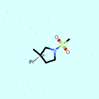 CC(C)[C@@]1(C)CCN(S(C)(=O)=O)C1